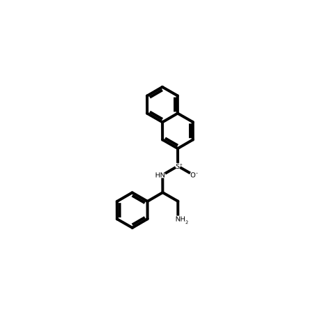 NCC(N[S+]([O-])c1ccc2ccccc2c1)c1ccccc1